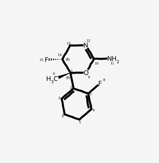 C[C@]1(C2=C[CH]CC=C2F)OC(N)=NC[C@H]1F